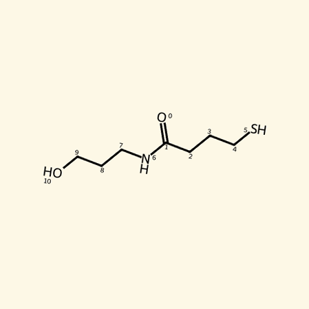 O=C(CCCS)NCCCO